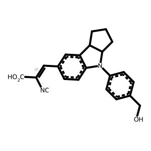 [C-]#[N+]/C(=C\c1ccc2c(c1)C1CCCC1N2c1ccc(CO)cc1)C(=O)O